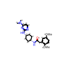 COc1ccc(OC)c(CC(=O)N[C@H]2CC[C@@H](Nc3nccc(N(C)C)n3)CC2)c1